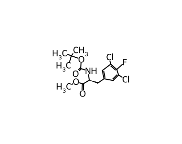 COC(=O)[C@H](Cc1cc(Cl)c(F)c(Cl)c1)NC(=O)OC(C)(C)C